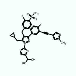 Cn1cc(C#Cc2cc(-c3nn(-c4nc(C(O)O)cs4)c(CC4CC4)c3Cc3ccc(S(N)(=O)=O)c(F)c3)ccc2F)cn1